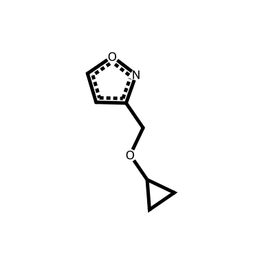 c1cc(COC2CC2)no1